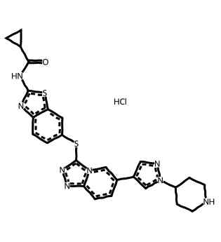 Cl.O=C(Nc1nc2ccc(Sc3nnc4ccc(-c5cnn(C6CCNCC6)c5)cn34)cc2s1)C1CC1